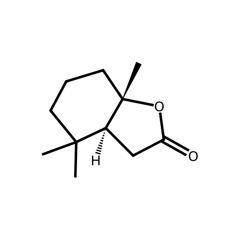 CC1(C)CCC[C@]2(C)OC(=O)C[C@@H]12